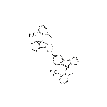 Cc1cccc(C(F)(F)F)c1-n1c2ccccc2c2cc(-c3ccc4c(c3)c3ccccc3n4-c3c(C)cccc3C(F)(F)F)ccc21